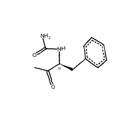 CC(=O)[C@H](Cc1ccccc1)NC(N)=O